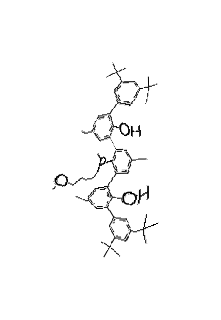 COCCCP(C)c1c(-c2cc(C)cc(-c3cc(C(C)(C)C)cc(C(C)(C)C)c3)c2O)cc(C)cc1-c1cc(C)cc(-c2cc(C(C)(C)C)cc(C(C)(C)C)c2)c1O